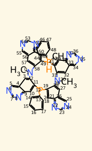 CN1c2cc3cncnc3cc2P(c2ccccc2)c2cc3ncncc3cc2N(C)c2cc3cncnc3cc2[PH](C)(c2ccccc2)c2cc3ncncc3cc21